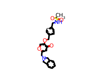 CS(=O)(=O)NCc1ccc(COc2coc(CN3Cc4ccccc4C3)cc2=O)cc1